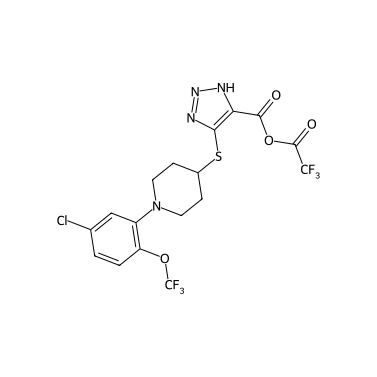 O=C(OC(=O)C(F)(F)F)c1[nH]nnc1SC1CCN(c2cc(Cl)ccc2OC(F)(F)F)CC1